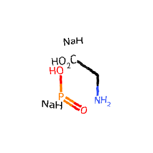 NCC(=O)O.O=PO.[NaH].[NaH]